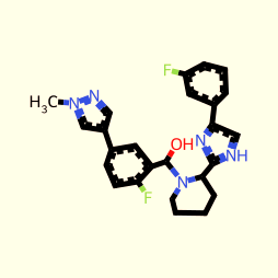 Cn1cc(-c2ccc(F)c(C(O)N3CCCCC3c3nc(-c4cccc(F)c4)c[nH]3)c2)cn1